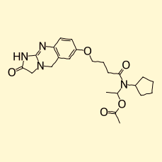 CC(=O)OC(C)N(C(=O)CCCOc1ccc2c(c1)CN1CC(=O)NC1=N2)C1CCCC1